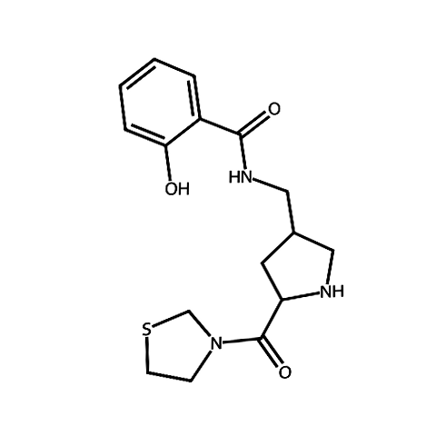 O=C(NCC1CNC(C(=O)N2CCSC2)C1)c1ccccc1O